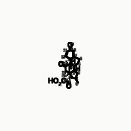 CC1C[C@H]2[C@@H]3CCC4=CC(=O)C=C[C@]4(C)[C@@]3(F)C(=O)C[C@]2(C)[C@H]1C(=O)C(=O)O